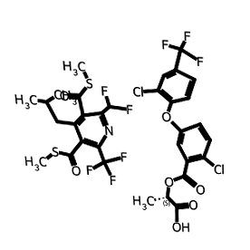 CSC(=O)c1c(C(F)F)nc(C(F)(F)F)c(C(=O)SC)c1CC(C)C.C[C@H](OC(=O)c1cc(Oc2ccc(C(F)(F)F)cc2Cl)ccc1Cl)C(=O)O